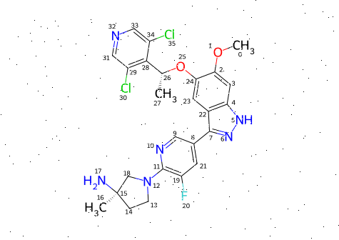 COc1cc2[nH]nc(-c3cnc(N4CC[C@@](C)(N)C4)c(F)c3)c2cc1O[C@H](C)c1c(Cl)cncc1Cl